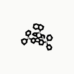 c1ccc(N(c2ccccc2)c2ccc3c(c2)C2(c4cc(N(c5ccccc5)c5ccccc5)ccc4-3)c3ccccc3N(c3cccc4ccccc34)c3ccccc32)cc1